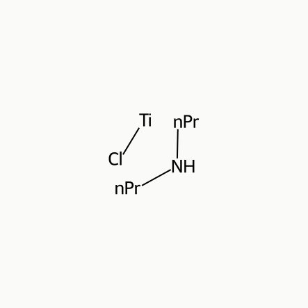 CCCNCCC.[Cl][Ti]